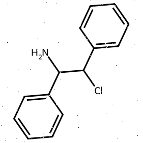 NC(c1ccccc1)C(Cl)c1ccccc1